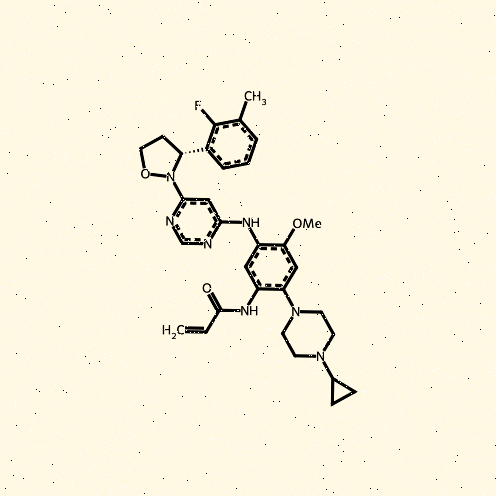 C=CC(=O)Nc1cc(Nc2cc(N3OCC[C@@H]3c3cccc(C)c3F)ncn2)c(OC)cc1N1CCN(C2CC2)CC1